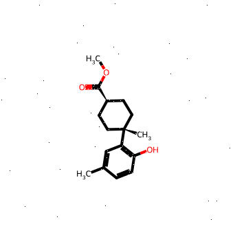 COC(=O)[C@H]1CC[C@](C)(c2cc(C)ccc2O)CC1